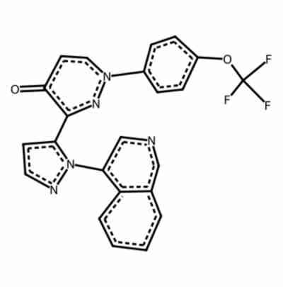 O=c1ccn(-c2ccc(OC(F)(F)F)cc2)nc1-c1ccnn1-c1cncc2ccccc12